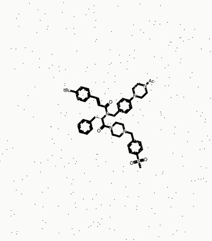 CC(=O)N1CCN(c2ccc(CN(C(=O)/C=C/c3ccc(C(C)(C)C)cc3)[C@@H](Cc3ccccc3)C(=O)N3CCN(Cc4ccc(S(C)(=O)=O)cc4)CC3)cc2)CC1